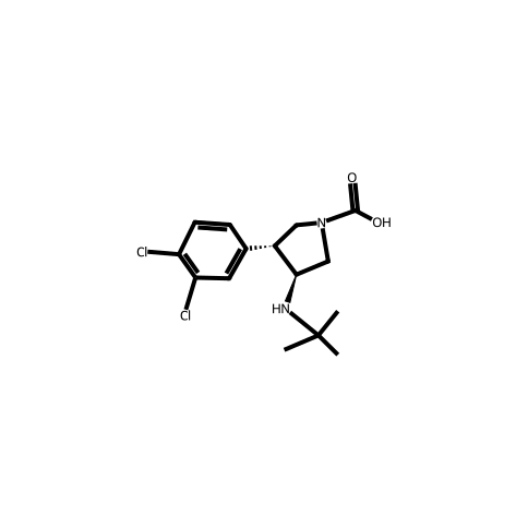 CC(C)(C)N[C@@H]1CN(C(=O)O)C[C@H]1c1ccc(Cl)c(Cl)c1